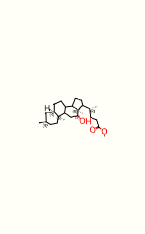 COC(=O)CC[C@@H](C)C1CCC2C3CC[C@@H]4C[C@H](C)CC[C@]4(C)C3C[C@H](O)[C@@]21C